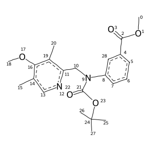 COC(=O)c1cccc(N(Cc2ncc(C)c(OC)c2C)C(=O)OC(C)(C)C)c1